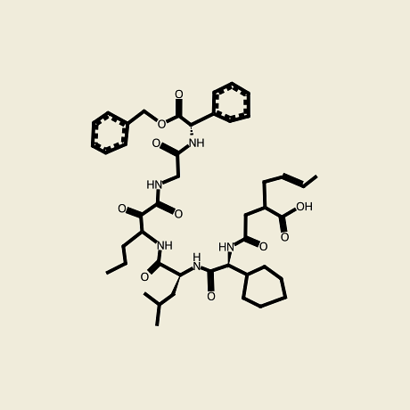 C/C=C/CC(CC(=O)N[C@H](C(=O)N[C@@H](CC(C)C)C(=O)NC(CCC)C(=O)C(=O)NCC(=O)N[C@H](C(=O)OCc1ccccc1)c1ccccc1)C1CCCCC1)C(=O)O